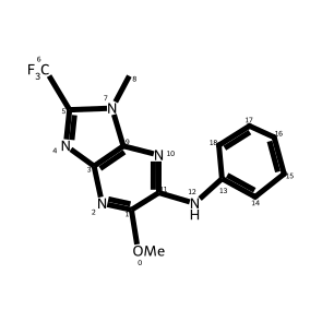 COc1nc2nc(C(F)(F)F)n(C)c2nc1Nc1ccccc1